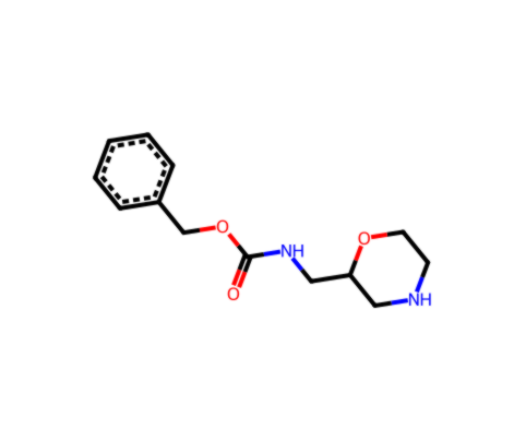 O=C(NCC1CNCCO1)OCc1ccccc1